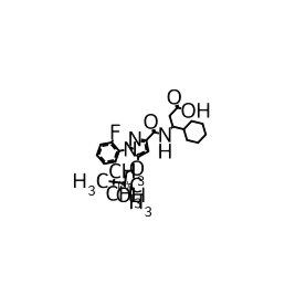 CC(C)(C)[C@](C)(O)COc1cc(C(=O)NC(CC(=O)O)C2CCCCC2)nn1-c1ccccc1F